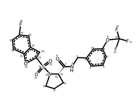 O=C(NCc1cccc(OC(F)(F)F)c1)[C@@H]1CCCN1S(=O)(=O)c1cc2cc(F)ccc2o1